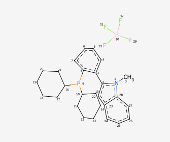 Cn1c(-c2ccccc2P(C2CCCCC2)C2CCCCC2)cc2ccccc21.F[B-](F)(F)F